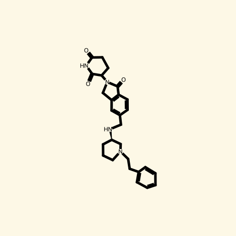 O=C1CCC(N2Cc3cc(CN[C@@H]4CCCN(CCc5ccccc5)C4)ccc3C2=O)C(=O)N1